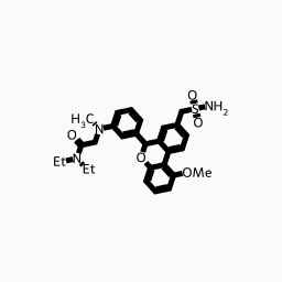 CCN(CC)C(=O)CN(C)c1cccc(C2Oc3cccc(OC)c3-c3ccc(CS(N)(=O)=O)cc32)c1